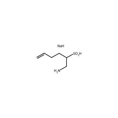 C=CCCC(CN)S(=O)(=O)O.[NaH]